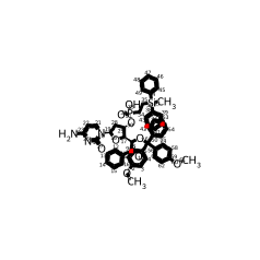 COc1ccc(C(OC(C(=O)c2ccccc2)[C@H]2O[C@@H](n3ccc(N)nc3=O)C[C@@H]2OP(=O)(O)CC[Si](C)(c2ccccc2)c2ccccc2)(c2ccccc2)c2ccc(OC)cc2)cc1